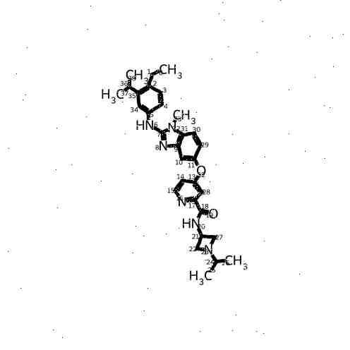 CCc1ccc(Nc2nc3cc(Oc4ccnc(C(=O)NC5CN(C(C)C)C5)c4)ccc3n2C)cc1C(C)C